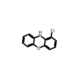 [Cr][c]1cccc2c1Nc1ccccc1O2